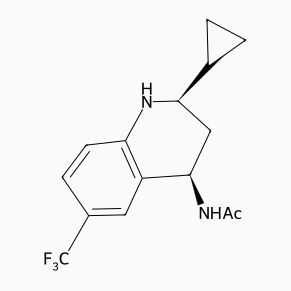 CC(=O)N[C@@H]1C[C@H](C2CC2)Nc2ccc(C(F)(F)F)cc21